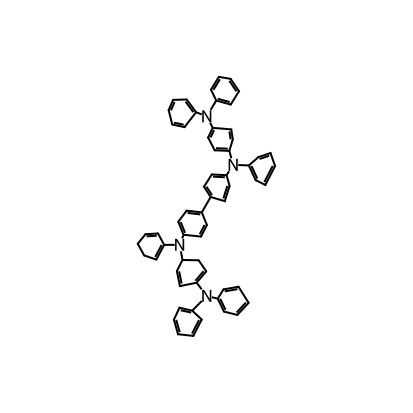 C1=CC(N(c2ccc(-c3ccc(N(c4ccccc4)c4ccc(N(c5ccccc5)c5ccccc5)cc4)cc3)cc2)C2C=CC(N(c3ccccc3)c3ccccc3)=CC2)=CCC1